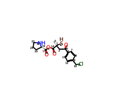 C[C@](S)(CC(=O)c1ccc(CCl)cc1)C(=O)OC(=O)[C@@H]1CCCN1